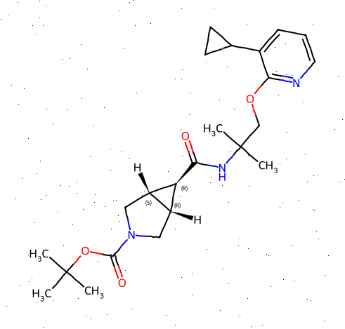 CC(C)(COc1ncccc1C1CC1)NC(=O)[C@H]1[C@@H]2CN(C(=O)OC(C)(C)C)C[C@@H]21